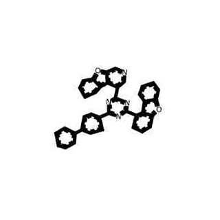 c1ccc(-c2ccc(-c3nc(-c4cccc5oc6ccccc6c45)nc(-c4cncc5oc6ccccc6c45)n3)cc2)cc1